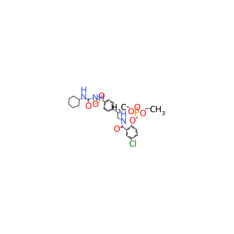 CCOP(=O)(COc1ccc(Cl)cc1C(=O)NCCc1ccc(S(=O)(=O)NC(=O)NC2CCCCC2)cc1)OCC